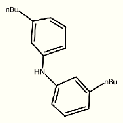 CCCCc1cccc(Nc2cccc(CCCC)c2)c1